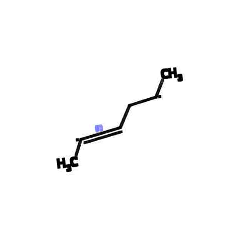 C/[C]=C/C[CH]C